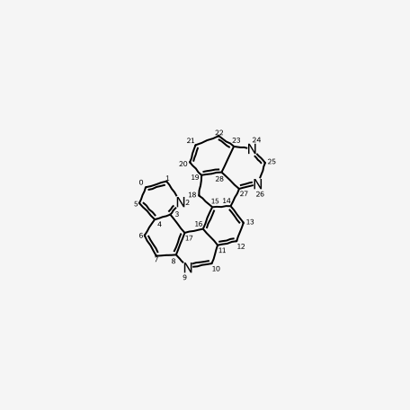 c1cnc2c(c1)ccc1ncc3ccc4c(c3c12)Cc1cccc2ncnc-4c12